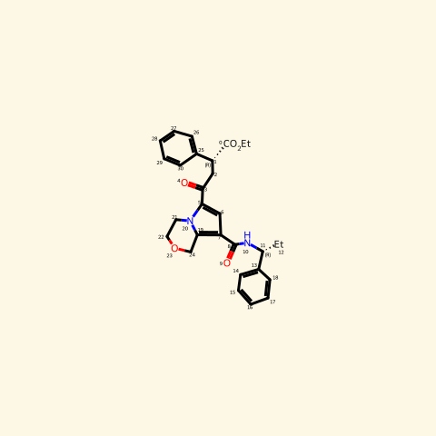 CCOC(=O)[C@H](CC(=O)c1cc(C(=O)N[C@H](CC)c2ccccc2)c2n1CCOC2)c1ccccc1